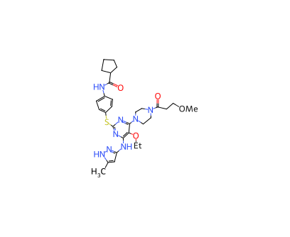 CCOc1c(Nc2cc(C)[nH]n2)nc(Sc2ccc(NC(=O)C3CCCC3)cc2)nc1N1CCN(C(=O)CCOC)CC1